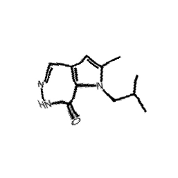 Cc1cc2cn[nH]c(=O)c2n1CC(C)C